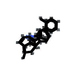 C\C1=C(C2=CC3CC=CC=C3N2)/C=C\C=C(\C(C)=C\c2ccccc2C)CC1